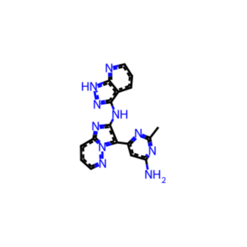 Cc1nc(N)cc(-c2c(Nc3n[nH]c4ncccc34)nc3cccnn23)n1